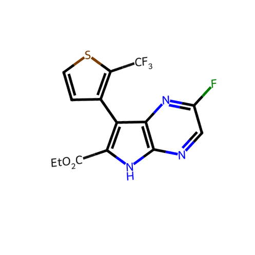 CCOC(=O)c1[nH]c2ncc(F)nc2c1-c1ccsc1C(F)(F)F